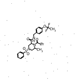 CC(C)C(=O)N1C(C)CN(S(=O)(=O)c2ccccc2)CC1C(=O)NCc1ccc(OC(C)(F)F)cc1